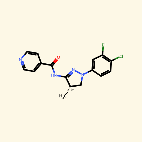 C[C@H]1CN(c2ccc(Cl)c(Cl)c2)N=C1NC(=O)c1ccncc1